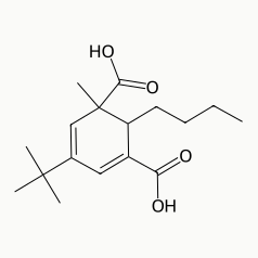 CCCCC1C(C(=O)O)=CC(C(C)(C)C)=CC1(C)C(=O)O